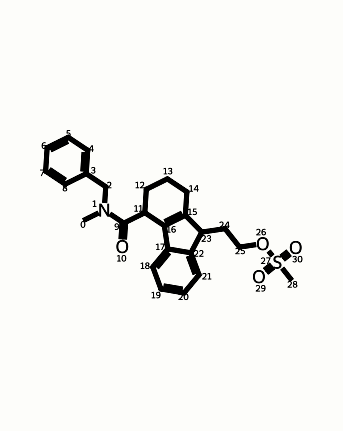 CN(Cc1ccccc1)C(=O)C1CCCC2=C1c1ccccc1C2CCOS(C)(=O)=O